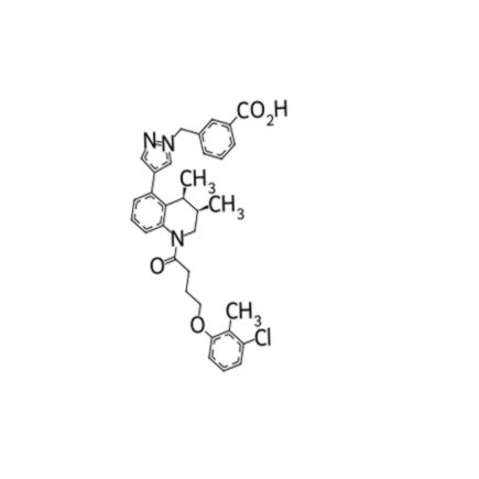 Cc1c(Cl)cccc1OCCCC(=O)N1C[C@H](C)[C@H](C)c2c(-c3cnn(Cc4cccc(C(=O)O)c4)c3)cccc21